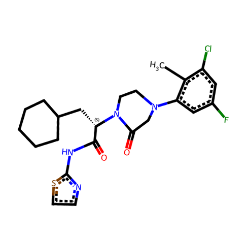 Cc1c(Cl)cc(F)cc1N1CCN([C@@H](CC2CCCCC2)C(=O)Nc2nccs2)C(=O)C1